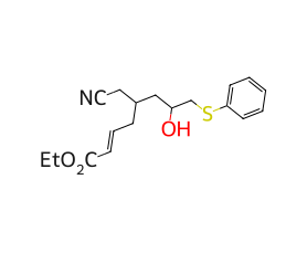 CCOC(=O)/C=C/CC(CC#N)CC(O)CSc1ccccc1